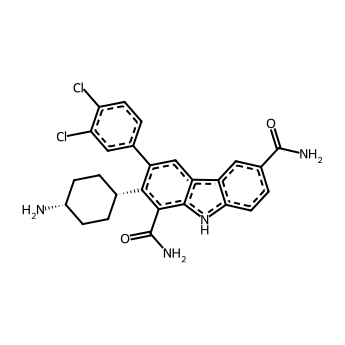 NC(=O)c1ccc2[nH]c3c(C(N)=O)c([C@H]4CC[C@@H](N)CC4)c(-c4ccc(Cl)c(Cl)c4)cc3c2c1